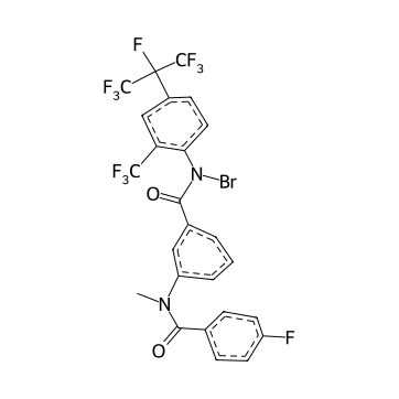 CN(C(=O)c1ccc(F)cc1)c1cccc(C(=O)N(Br)c2ccc(C(F)(C(F)(F)F)C(F)(F)F)cc2C(F)(F)F)c1